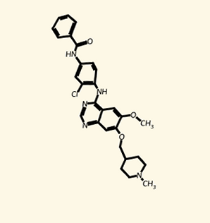 COc1cc2c(Nc3ccc(NC(=O)c4ccccc4)cc3Cl)ncnc2cc1OCC1CCN(C)CC1